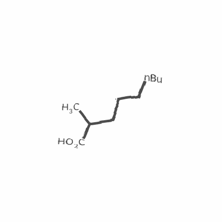 CCCCC[CH]CC(C)C(=O)O